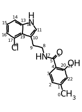 Cc1ccc(C(=O)NCCc2c[nH]c3cccc(Cl)c23)c(O)c1